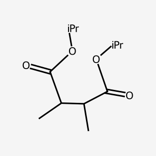 CC(C)OC(=O)C(C)C(C)C(=O)OC(C)C